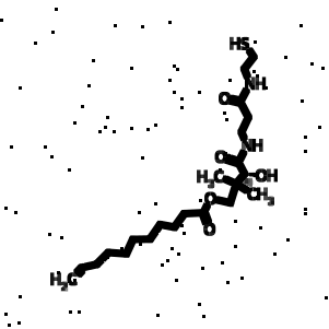 C=CCCCCCCCCC(=O)OCC(C)(C)[C@@H](O)C(=O)NCCC(=O)NCCS